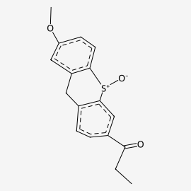 CCC(=O)c1ccc2c(c1)[S+]([O-])c1ccc(OC)cc1C2